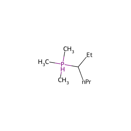 CCCC(CC)[PH](C)(C)C